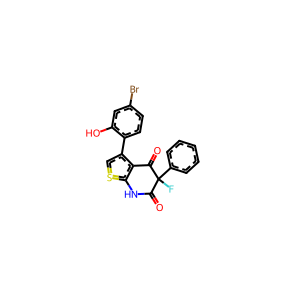 O=C1Nc2scc(-c3ccc(Br)cc3O)c2C(=O)C1(F)c1ccccc1